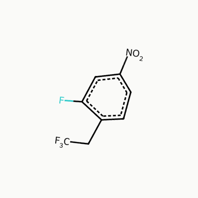 O=[N+]([O-])c1ccc(CC(F)(F)F)c(F)c1